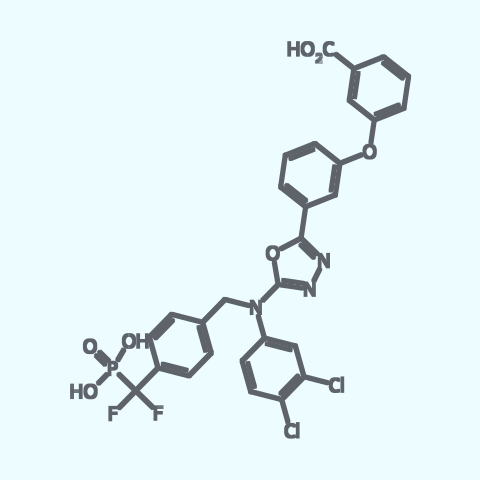 O=C(O)c1cccc(Oc2cccc(-c3nnc(N(Cc4ccc(C(F)(F)P(=O)(O)O)cc4)c4ccc(Cl)c(Cl)c4)o3)c2)c1